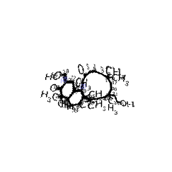 CC1(C)CCCC(=O)/C=C2/[C@@]3(C)C/C(=C/O)C(=O)C(C)(C)[C@@H]3CC[C@@]2(C)C(C)(C)CC[C@@](C)(CCO)CC1